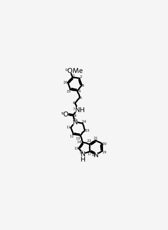 COc1ccc(CCNC(=O)N2CC=C(c3c[nH]c4ncccc34)CC2)cc1